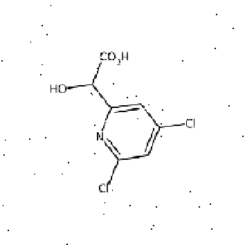 O=C(O)C(O)c1cc(Cl)cc(Cl)n1